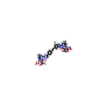 COC(=O)N[C@H](C(=O)N1[C@@H]2C[C@@H]2C[C@H]1c1nc(-c2ccc(C#Cc3cc(F)c4nc([C@@H]5C[C@H]6C[C@H]6N5C(=O)[C@@H](NC(=O)OC)C(C)C)[nH]c4c3)cc2)c[nH]1)C(C)C